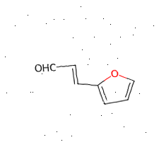 O=CC=Cc1ccco1